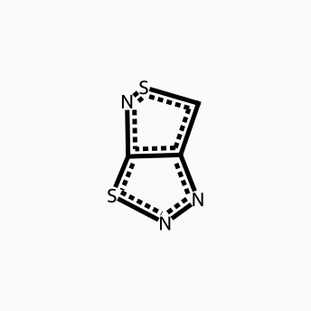 c1snc2snnc12